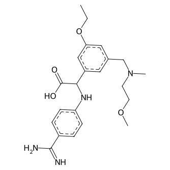 CCOc1cc(CN(C)CCOC)cc(C(Nc2ccc(C(=N)N)cc2)C(=O)O)c1